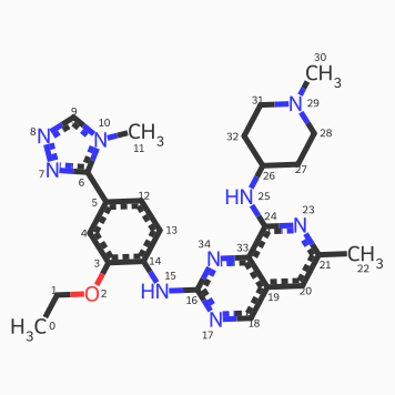 CCOc1cc(-c2nncn2C)ccc1Nc1ncc2cc(C)nc(NC3CCN(C)CC3)c2n1